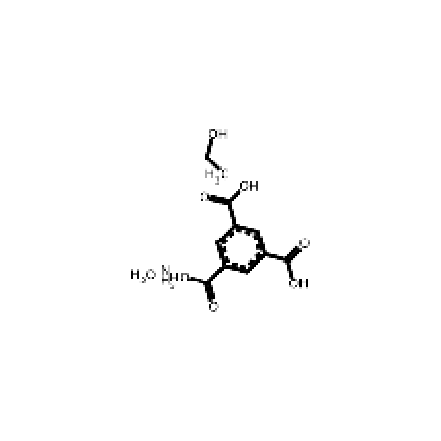 CCO.N.O.O=C(O)c1cc(C(=O)O)cc(C(=O)O)c1